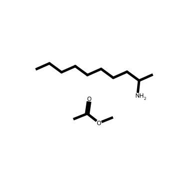 CCCCCCCCC(C)N.COC(C)=O